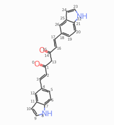 O=C(C=Cc1ccc2[nH]ccc2c1)CC(=O)C=Cc1ccc2[nH]ccc2c1